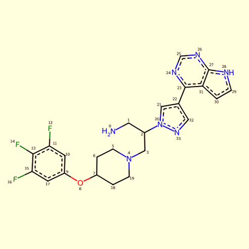 NCC(CN1CCC(Oc2cc(F)c(F)c(F)c2)CC1)n1cc(-c2ncnc3[nH]ccc23)cn1